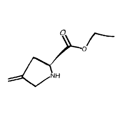 C=C1CN[C@H](C(=O)OCC)C1